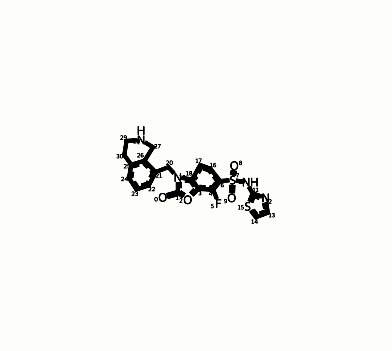 O=c1oc2c(F)c(S(=O)(=O)Nc3nccs3)ccc2n1Cc1cccc2c1CNCC2